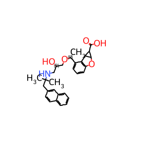 C[C@@H](OC[C@H](O)CNC(C)(C)Cc1ccc2ccccc2c1)c1cccc2c1C1C(O2)C1C(=O)O